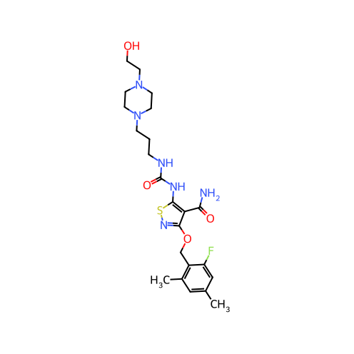 Cc1cc(C)c(COc2nsc(NC(=O)NCCCN3CCN(CCO)CC3)c2C(N)=O)c(F)c1